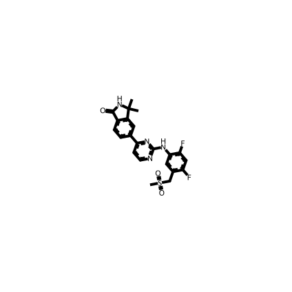 CC1(C)NC(=O)c2ccc(-c3ccnc(Nc4cc(CS(C)(=O)=O)c(F)cc4F)n3)cc21